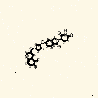 O=C1CCC(N2Cc3cc(O[C@H]4CCN(Cc5cnc6ccc(F)c(F)c6c5)C4)ccc3C2=O)C(=O)N1